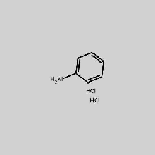 Cl.Cl.[AlH2][c]1ccccc1